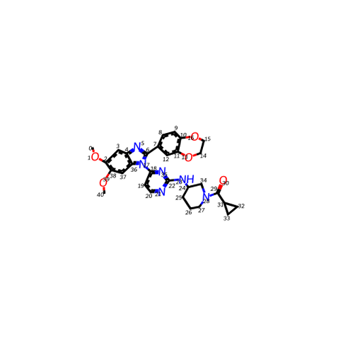 COc1cc2nc(-c3ccc4c(c3)OCCO4)n(-c3ccnc(NC4CCCN(C(=O)C5CC5)C4)n3)c2cc1OC